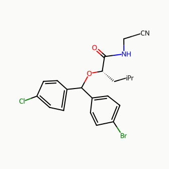 CC(C)C[C@H](OC(c1ccc(Cl)cc1)c1ccc(Br)cc1)C(=O)NCC#N